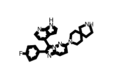 Fc1ccc(-c2nc3ccc(N4CCC5(CCCNC5)CC4)nn3c2-c2ccnc3[nH]ccc23)cc1